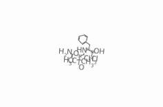 CC(N[C@@H](Cc1ccccc1)[C@@H](O)CCl)[C@@H](OC(N)=O)C(C)(C)C=O